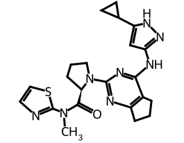 CN(C(=O)[C@H]1CCCN1c1nc2c(c(Nc3cc(C4CC4)[nH]n3)n1)CCC2)c1nccs1